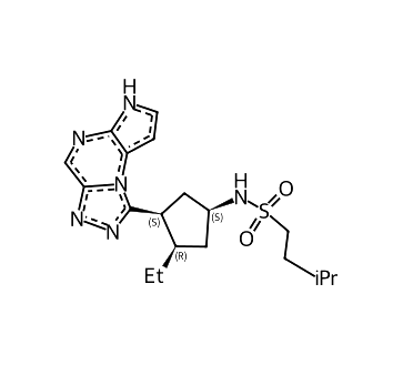 CC[C@@H]1C[C@H](NS(=O)(=O)CCC(C)C)C[C@@H]1c1nnc2cnc3[nH]ccc3n12